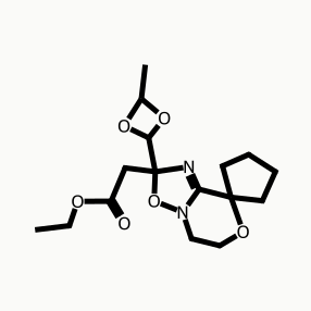 CCOC(=O)CC1(C2OC(C)O2)N=C2N(CCOC23CCCC3)O1